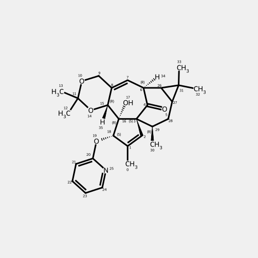 CC1=C[C@]23C(=O)[C@@H](C=C4COC(C)(C)O[C@H]4[C@]2(O)[C@H]1Oc1ccccn1)C1C(C[C@H]3C)C1(C)C